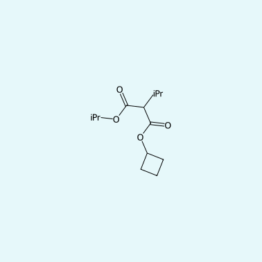 CC(C)OC(=O)C(C(=O)OC1CCC1)C(C)C